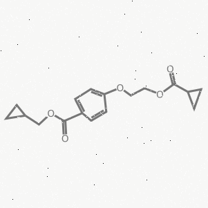 O=C(OCC1CC1)c1ccc(OCCOC(=O)C2CC2)cc1